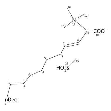 CCCCCCCCCCCCCCCCC=CC(C(=O)[O-])[N+](C)(C)C.CS(=O)(=O)O